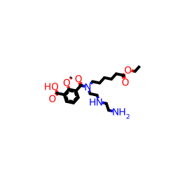 CCOC(=O)CCCCCN(CCNCCN)C(=O)c1cccc(C(=O)O)c1OC